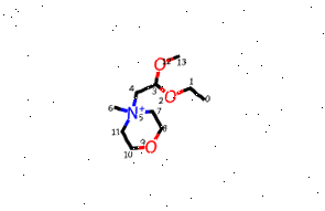 CCOC(C[N+]1(C)CCOCC1)OC